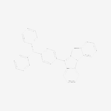 c1ccc(N(c2ccccc2)c2ccc(-c3c4ccccc4n4c3sc3ccccc34)cc2)cc1